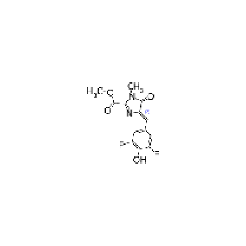 COC(=O)C1=N/C(=C\c2cc(F)c(O)c(F)c2)C(=O)N1C